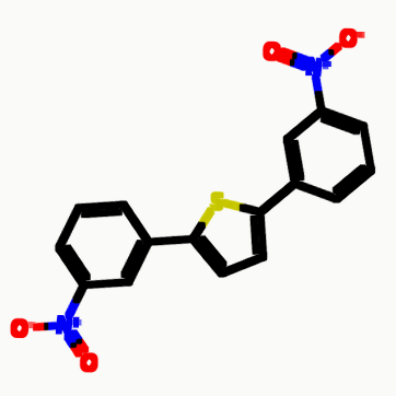 O=[N+]([O-])c1cccc(-c2ccc(-c3cccc([N+](=O)[O-])c3)s2)c1